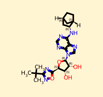 CC(C)(C)c1noc([C@H]2O[C@@H](n3cnc4c(N[C@@H]5C[C@@H]6CC[C@H]5C6)ncnc43)[C@H](O)[C@@H]2O)n1